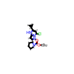 CC(C)(C)OC(=O)N1CCCC[C@H]1c1cc2n(n1)C(Cl)C=C(C1CC1)N2